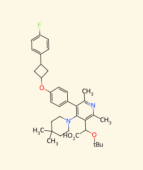 Cc1nc(C)c(C(OC(C)(C)C)C(=O)O)c(N2CCC(C)(C)CC2)c1-c1ccc(OC2CC(c3ccc(F)cc3)C2)cc1